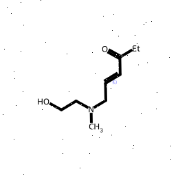 CCC(=O)/C=C/CN(C)CCO